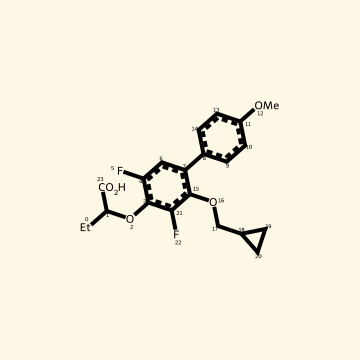 CCC(Oc1c(F)cc(-c2ccc(OC)cc2)c(OCC2CC2)c1F)C(=O)O